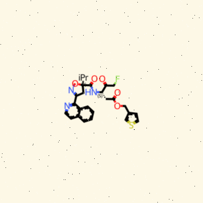 CC(C)[C@@]1(C(=O)N[C@@H](CC(=O)OCc2ccsc2)C(=O)CF)CC(c2nccc3ccccc23)=NO1